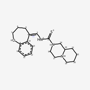 S=C(N/C=C1/CCCOc2ccccc21)N1CCN2CCCCC2C1